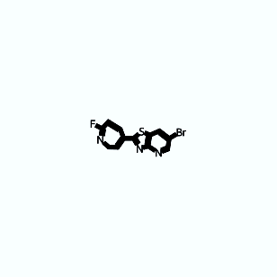 FC1=NCC=C(c2nc3ncc(Br)cc3s2)C=C1